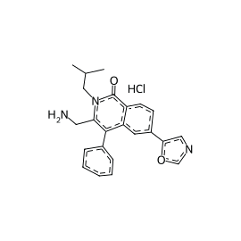 CC(C)Cn1c(CN)c(-c2ccccc2)c2cc(-c3cnco3)ccc2c1=O.Cl